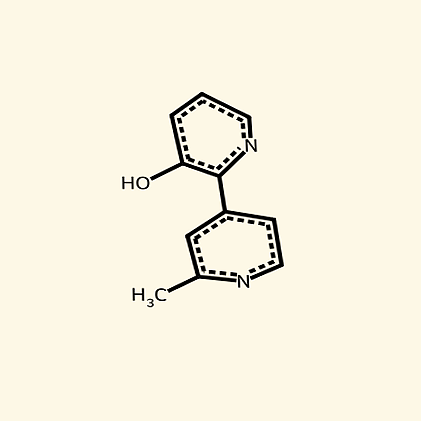 Cc1cc(-c2ncccc2O)ccn1